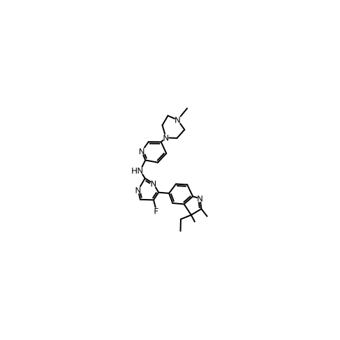 CCC1(C)C(C)=Nc2ccc(-c3nc(Nc4ccc(N5CCN(C)CC5)cn4)ncc3F)cc21